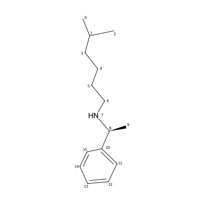 CC(C)CCCCN[C@@H](C)c1ccccc1